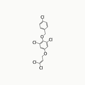 ClC(Cl)=CCOc1cc(Cl)c(OCc2ccc(Cl)cc2)c(Cl)c1